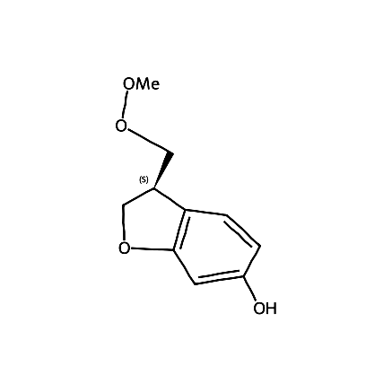 COOC[C@@H]1COc2cc(O)ccc21